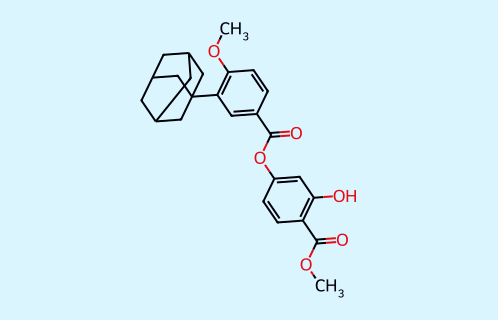 COC(=O)c1ccc(OC(=O)c2ccc(OC)c(C34CC5CC(CC(C5)C3)C4)c2)cc1O